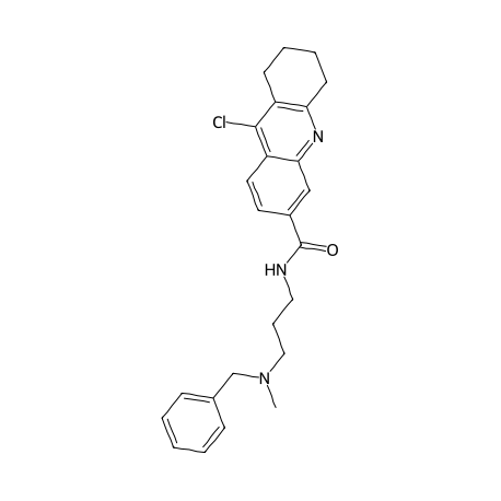 CN(CCCNC(=O)c1ccc2c(Cl)c3c(nc2c1)CCCC3)Cc1ccccc1